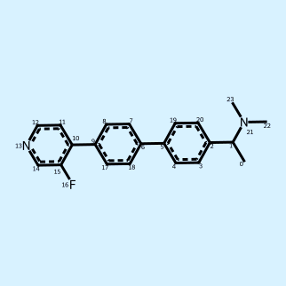 CC(c1ccc(-c2ccc(-c3ccncc3F)cc2)cc1)N(C)C